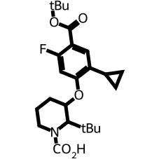 CC(C)(C)OC(=O)c1cc(C2CC2)c(OC2CCCN(C(=O)O)C2C(C)(C)C)cc1F